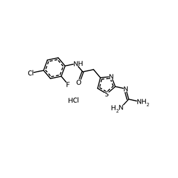 Cl.NC(N)=Nc1nc(CC(=O)Nc2ccc(Cl)cc2F)cs1